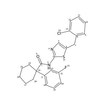 O=C(Nc1ncc(Cc2ccccc2Cl)s1)C1(c2cccc(F)c2)CCCCC1